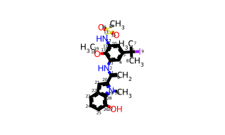 C=C(Nc1cc(C(C)(C)I)cc(NS(C)(=O)=O)c1OC)c1cc2cccc(O)c2n1C